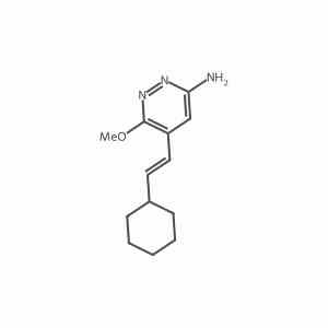 COc1nnc(N)cc1/C=C/C1CCCCC1